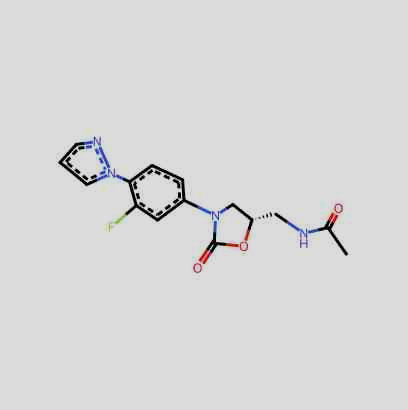 CC(=O)NC[C@H]1CN(c2ccc(-n3cccn3)c(F)c2)C(=O)O1